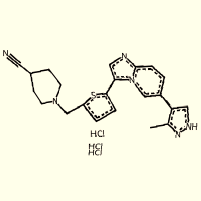 Cc1n[nH]cc1-c1ccc2ncc(-c3ccc(CN4CCC(C#N)CC4)s3)n2c1.Cl.Cl.Cl